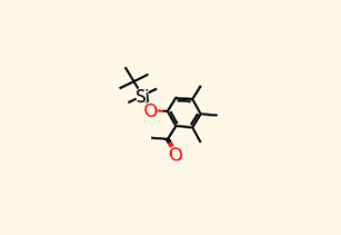 CC(=O)c1c(O[Si](C)(C)C(C)(C)C)cc(C)c(C)c1C